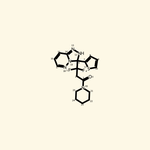 O=C(CC(F)(F)C1(c2cccs2)NN=C2C=CC=NN21)N1CCCCC1